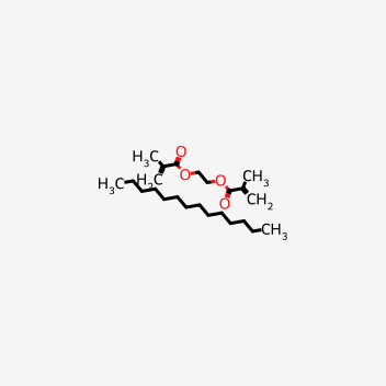 C=C(C)C(=O)OCCOC(=O)C(=C)C.CCCCCCCCCCCCCC